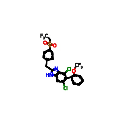 O=S(=O)(CC(F)(F)F)c1ccc(Cc2nc3c(Cl)c(-c4ccccc4OC(F)(F)F)c(Cl)cc3[nH]2)cc1